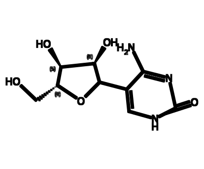 Nc1nc(=O)[nH]cc1C1O[C@H](CO)[C@@H](O)[C@H]1O